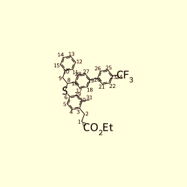 CCOC(=O)CCc1ccc(SC(Cc2ccccc2)c2ccc(-c3ccc(C(F)(F)F)cc3)cc2)cc1C